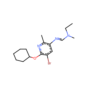 CCN(C)/C=N/c1cc(Br)c(OC2CCCCC2)nc1C